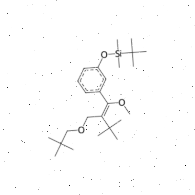 COC(=C(COCC(C)(C)C)C(C)(C)C)c1cccc(O[Si](C)(C)C(C)(C)C)c1